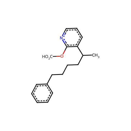 CC(CCCCc1ccccc1)c1cccnc1OC(=O)O